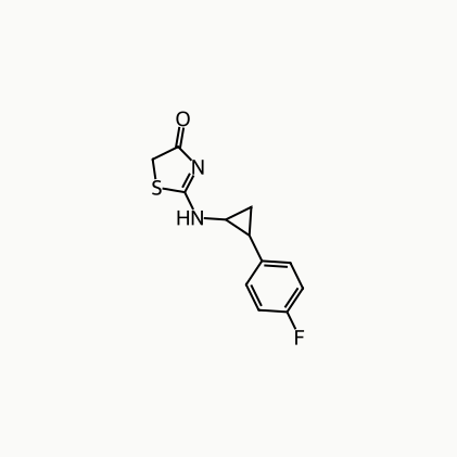 O=C1CSC(NC2CC2c2ccc(F)cc2)=N1